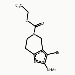 CC(=O)Nc1sc2c(c1Br)CN(C(=O)OCC(Cl)(Cl)Cl)CC2